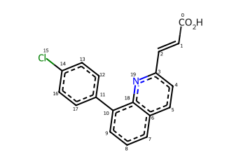 O=C(O)/C=C/c1ccc2cccc(-c3ccc(Cl)cc3)c2n1